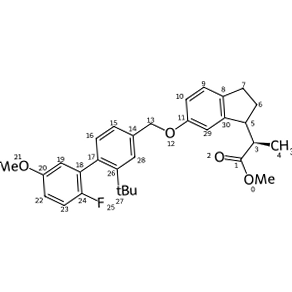 COC(=O)[C@H](C)C1CCc2ccc(OCc3ccc(-c4cc(OC)ccc4F)c(C(C)(C)C)c3)cc21